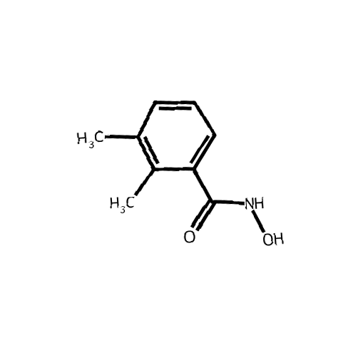 Cc1cccc(C(=O)NO)c1C